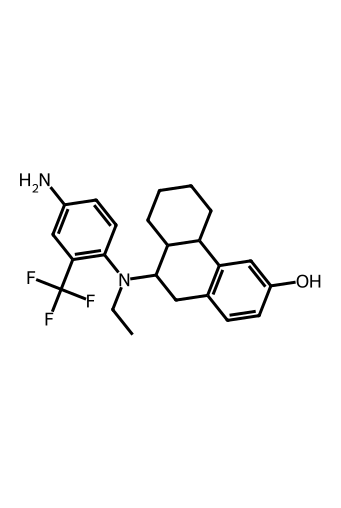 CCN(c1ccc(N)cc1C(F)(F)F)C1Cc2ccc(O)cc2C2CCCCC21